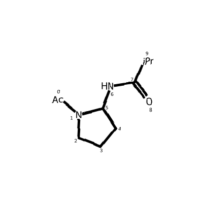 CC(=O)N1CCCC1NC(=O)C(C)C